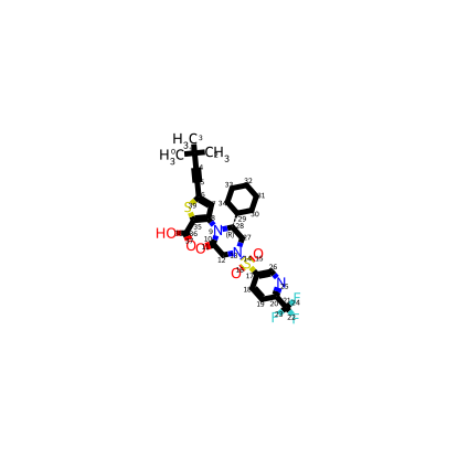 CC(C)(C)C#Cc1cc(N2C(=O)CN(S(=O)(=O)c3ccc(C(F)(F)F)nc3)C[C@H]2C2CCCCC2)c(C(=O)O)s1